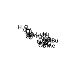 COC(=O)C(C(=O)OC)C(CC(C)CCCCOS(=O)(=O)c1ccc(C)cc1)NC(=O)OC(C)(C)C